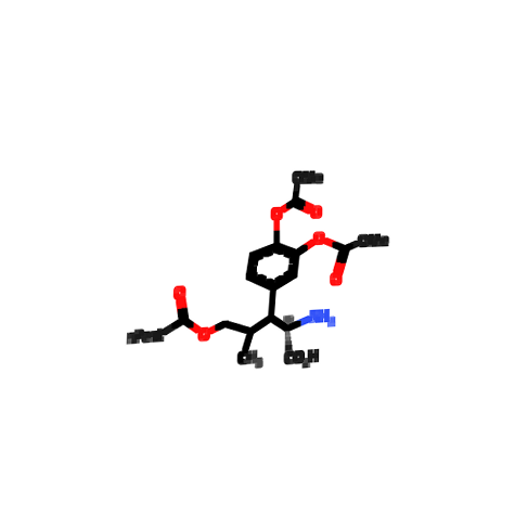 CCCCCC(=O)OCC(C)C(c1ccc(OC(=O)OC)c(OC(=O)OC)c1)[C@H](N)C(=O)O